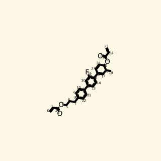 C=CC(=O)OCCCc1ccc(-c2ccc(C3=CC(C)C(OC(=O)C=C)C=C3)c(F)c2)cc1